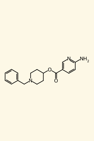 Nc1ccc(C(=O)OC2CCN(Cc3ccccc3)CC2)cn1